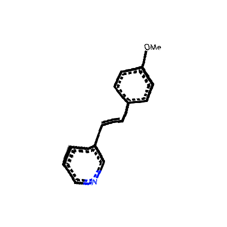 COc1ccc(/C=C/c2cccnc2)cc1